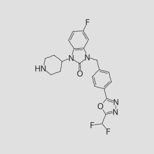 O=c1n(Cc2ccc(-c3nnc(C(F)F)o3)cc2)c2cc(F)ccc2n1C1CCNCC1